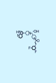 O=C(/C=C/c1cc(F)cc(F)c1)N1CCC([C@@H](CO)N2CCC(c3c[nH]c4ncccc34)CC2)CC1